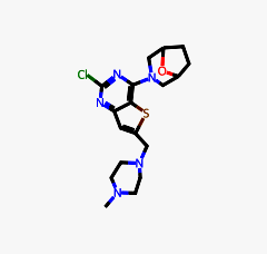 CN1CCN(Cc2cc3nc(Cl)nc(N4CC5CCC(C4)O5)c3s2)CC1